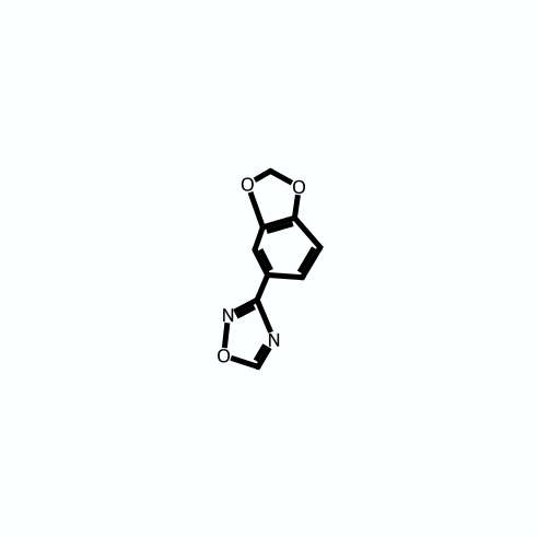 c1nc(-c2ccc3c(c2)OCO3)no1